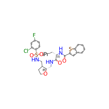 CC(C)C[C@H](NC(=O)c1cc2ccccc2s1)C(=O)NC[C@@H]1OCCC1CNS(=O)(=O)c1ccc(F)cc1Cl